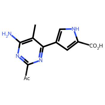 CC(=O)c1nc(N)c(C)c(-c2c[nH]c(C(=O)O)c2)n1